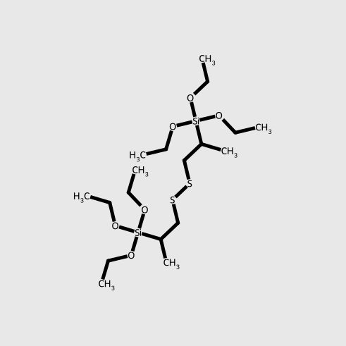 CCO[Si](OCC)(OCC)C(C)CSSCC(C)[Si](OCC)(OCC)OCC